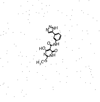 CSc1nc(O)c(C(=O)Nc2cccc(-c3cnn[nH]3)c2)c(=O)[nH]1